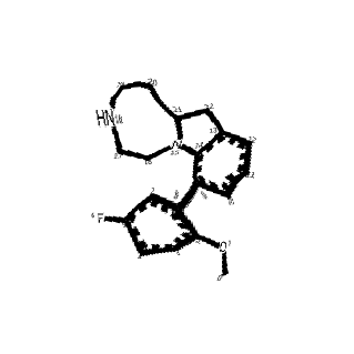 COc1ccc(F)cc1-c1cccc2c1N1CCNCCC1C2